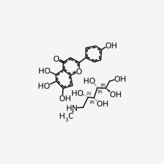 CNC[C@H](O)[C@@H](O)[C@H](O)[C@H](O)CO.O=c1cc(-c2ccc(O)cc2)oc2cc(O)c(O)c(O)c12